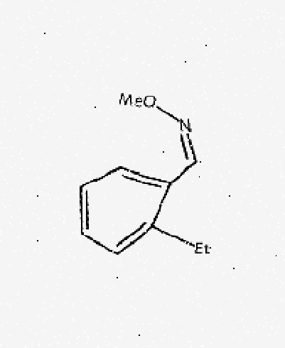 CCc1ccccc1/[C]=N\OC